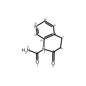 NC(=O)N1C(=O)[C]Cc2ccncc21